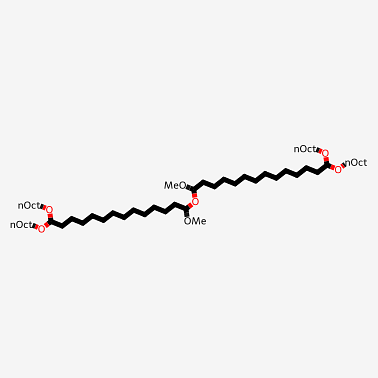 CCCCCCCCOC(CCCCCCCCCCCCC(OC)OC(CCCCCCCCCCCCC(OCCCCCCCC)OCCCCCCCC)OC)OCCCCCCCC